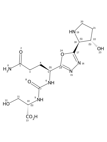 NC(=O)CC[C@H](NC(=O)N[C@@H](CO)C(=O)O)c1nnc([C@H]2NCC[C@@H]2O)o1